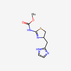 CC(C)(C)OC(=O)NC1=NC(Cc2ncc[nH]2)CS1